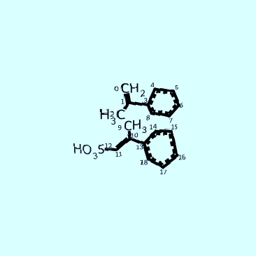 C=C(C)c1ccccc1.CC(=CS(=O)(=O)O)c1ccccc1